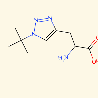 CC(C)(C)n1cc(CC(N)C(=O)O)nn1